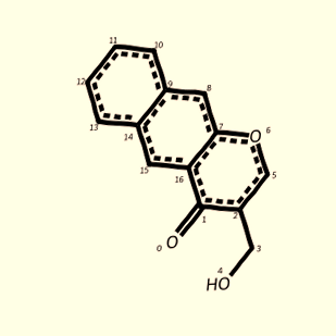 O=c1c(CO)coc2cc3ccccc3cc12